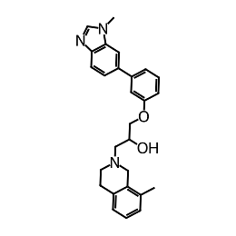 Cc1cccc2c1CN(CC(O)COc1cccc(-c3ccc4ncn(C)c4c3)c1)CC2